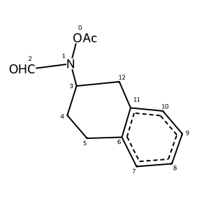 CC(=O)ON(C=O)C1CCc2ccccc2C1